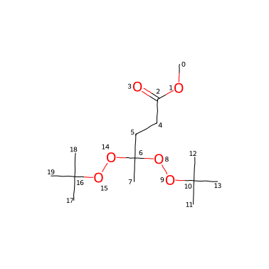 COC(=O)CCC(C)(OOC(C)(C)C)OOC(C)(C)C